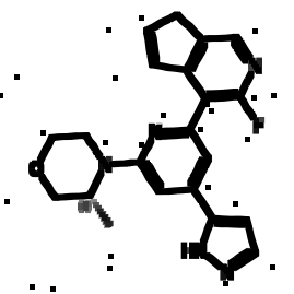 C[C@@H]1COCCN1c1cc(-c2ccn[nH]2)cc(-c2c(F)ncc3c2C=CC3)n1